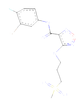 CS(=N)(=N)CCCNc1nonc1C(=N)Nc1ccc(F)c(Br)c1